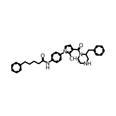 Cc1c(C(=O)N2CCNCC2Cc2ccccc2)ccn1-c1ccc(NC(=O)CCCCc2ccccc2)cc1